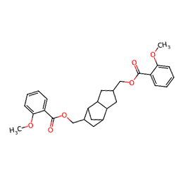 COc1ccccc1C(=O)OCC1CC2C3CC(COC(=O)c4ccccc4OC)C(C3)C2C1